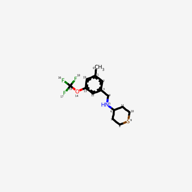 Cc1cc(CNC2CCSCC2)cc(OC(F)(F)F)c1